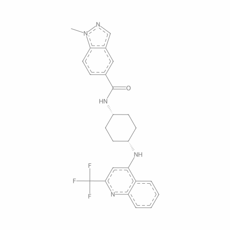 Cn1ncc2cc(C(=O)N[C@H]3CC[C@@H](Nc4cc(C(F)(F)F)nc5ccccc45)CC3)ccc21